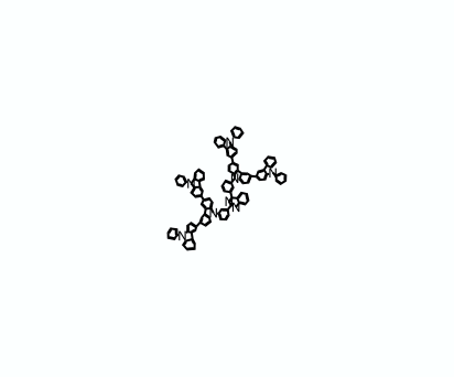 c1ccc(-n2c3ccccc3c3cc(-c4ccc5c(c4)c4cc(-c6ccc7c(c6)c6ccccc6n7-c6ccccc6)ccc4n5-c4cccc(-c5nc(-c6cccc(-n7c8ccc(-c9ccc%10c(c9)c9ccccc9n%10-c9ccccc9)cc8c8cc(-c9ccc%10c(c9)c9ccccc9n%10-c9ccccc9)ccc87)c6)c6ccccc6n5)c4)ccc32)cc1